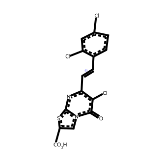 O=C(O)c1cn2c(=O)c(Cl)c(/C=C/c3ccc(Cl)cc3Cl)nc2s1